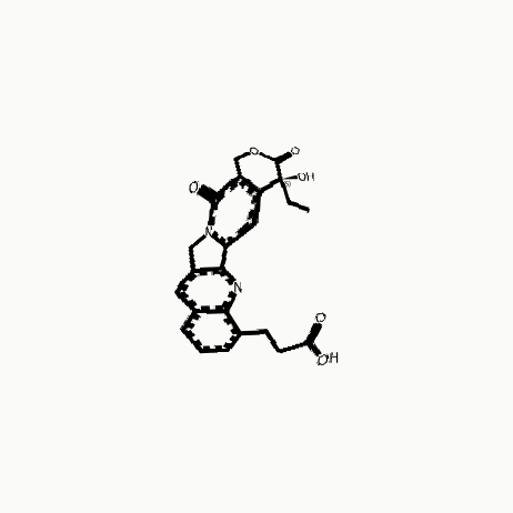 CC[C@@]1(O)C(=O)OCc2c1cc1n(c2=O)Cc2cc3cccc(CCC(=O)O)c3nc2-1